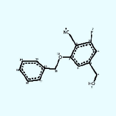 N#Cc1c(F)cc(CO)cc1OCc1ccccc1